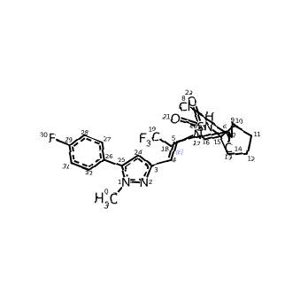 Cn1nc(/C=C/C2=C(Cl)CC3CCC(C2)C32CN(CC(F)(F)F)S(=O)(=O)N2)cc1-c1ccc(F)cc1